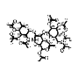 CC(=O)OCC1ONC(O[C@@H]2OC(C)[C@H](OC(C)=O)C(OC(C)=O)C2OC(C)=O)C(O[C@@H]2OC(COC(C)=O)[C@@H](OC(C)=O)C(OC(C)=O)C2OC(C)=O)[C@@H]1OC(C)=O